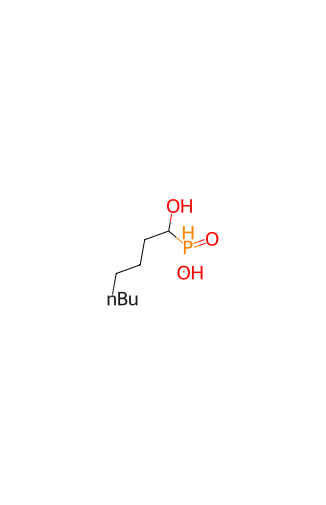 CCCCCCCC(O)[PH](=O)O